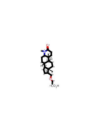 CN1C(=O)CC[C@@]2(C)C1CC[C@@H]1[C@H]2CC[C@]2(C)C(COCC(=O)O)CC[C@@H]12